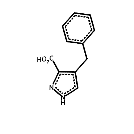 O=C(O)c1n[nH]cc1Cc1ccccc1